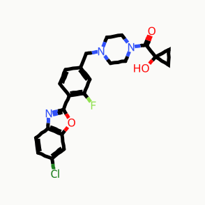 O=C(N1CCN(Cc2ccc(-c3nc4ccc(Cl)cc4o3)c(F)c2)CC1)C1(O)CC1